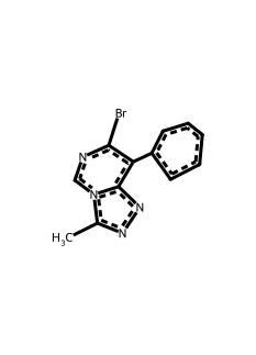 Cc1nnc2c(-c3ccccc3)c(Br)ncn12